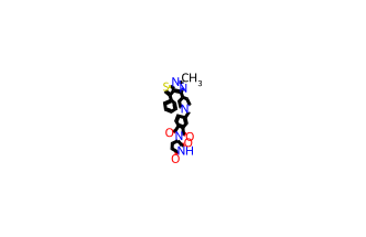 Cc1nc(C2CCN(Cc3ccc4c(c3)C(=O)N(C3CCC(=O)NC3=O)C4=O)CC2)c2c(-c3ccccc3)csc2n1